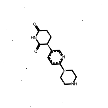 O=C1CC[C@@H](c2ccc(N3CCNCC3)nc2)C(=O)N1